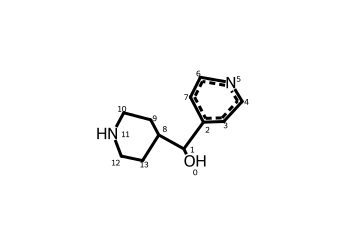 OC(c1ccncc1)C1CCNCC1